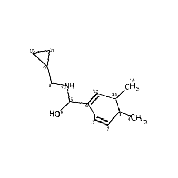 CC1C=CC(C(O)NCC2CC2)=CC1C